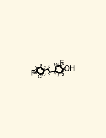 Oc1ccc(CCc2ccc(F)cc2)cc1F